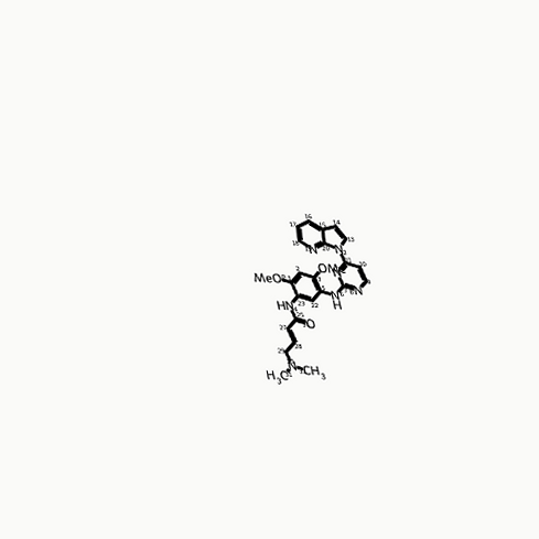 COc1cc(OC)c(Nc2nccc(-n3ccc4cccnc43)n2)cc1NC(=O)/C=C/CN(C)C